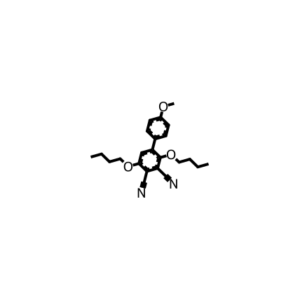 CCCCOc1cc(-c2ccc(OC)cc2)c(OCCCC)c(C#N)c1C#N